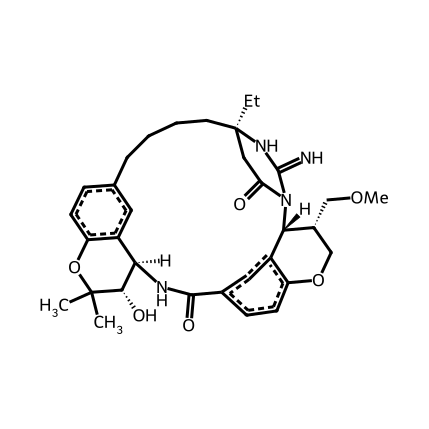 CC[C@]12CCCCc3ccc4c(c3)[C@@H](NC(=O)c3ccc5c(c3)[C@@H]([C@H](COC)CO5)N(C(=N)N1)C(=O)C2)[C@H](O)C(C)(C)O4